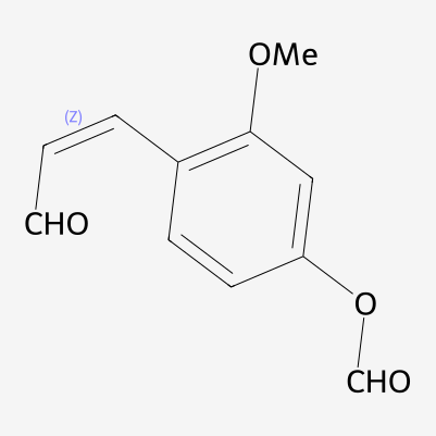 COc1cc(OC=O)ccc1/C=C\C=O